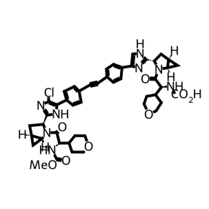 COC(=O)N[C@H](C(=O)N1[C@@H]2C[C@H]2C[C@H]1c1nc(Cl)c(-c2ccc(C#Cc3ccc(-c4c[nH]c([C@@H]5C[C@H]6C[C@H]6N5C(=O)[C@@H](NC(=O)O)C5CCOCC5)n4)cc3)cc2)[nH]1)C1CCOCC1